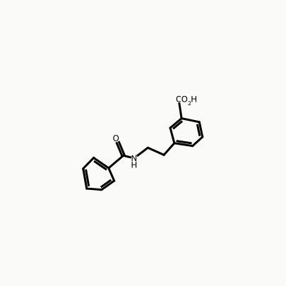 O=C(O)c1cccc(CCNC(=O)c2ccccc2)c1